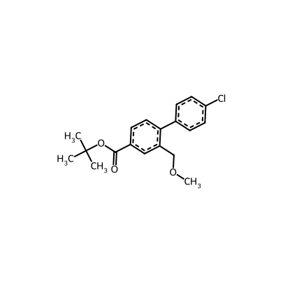 COCc1cc(C(=O)OC(C)(C)C)ccc1-c1ccc(Cl)cc1